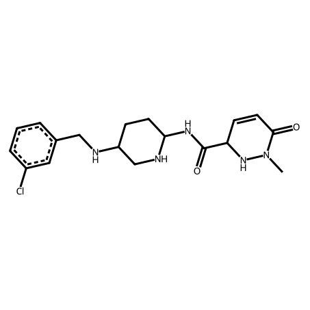 CN1NC(C(=O)NC2CCC(NCc3cccc(Cl)c3)CN2)C=CC1=O